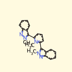 Cn1nc2ccccc2c1-c1cccc(-c2c3ccccc3nn2C)[n+]1C